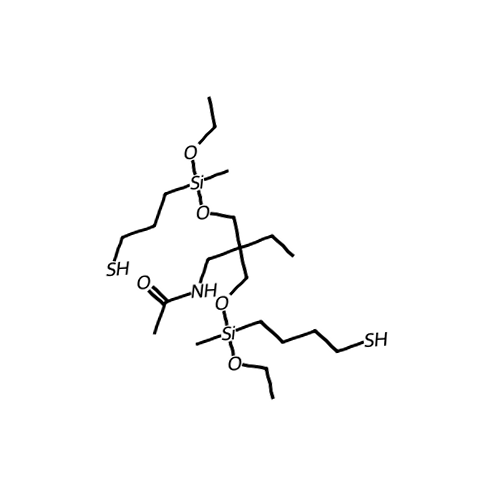 CCO[Si](C)(CCCS)OCC(CC)(CNC(C)=O)CO[Si](C)(CCCCS)OCC